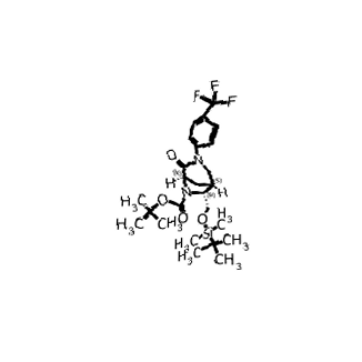 CC(C)(C)OC(=O)N1[C@@H]2C[C@@H](CN(c3ccc(C(F)(F)F)cc3)C2=O)[C@@H]1CO[Si](C)(C)C(C)(C)C